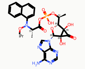 CC(C)ON(c1cccc2ccccc12)[C@@H](C)C(=O)OP(=O)(O)O[C@@H](C)[C@H]1O[C@@H](n2cnc3c(N)ncnc32)[C@@]2(O)C(=O)[C@@]12O